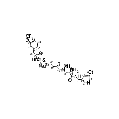 CCc1cncc(CNC(=O)/C(N)=C/N(N)CC(F)CCc2nnc(NC(=O)Cc3cccc(OC(F)(F)F)c3)s2)c1